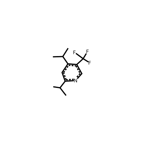 CC(C)c1cc(C(C)C)c(C(F)(F)F)cn1